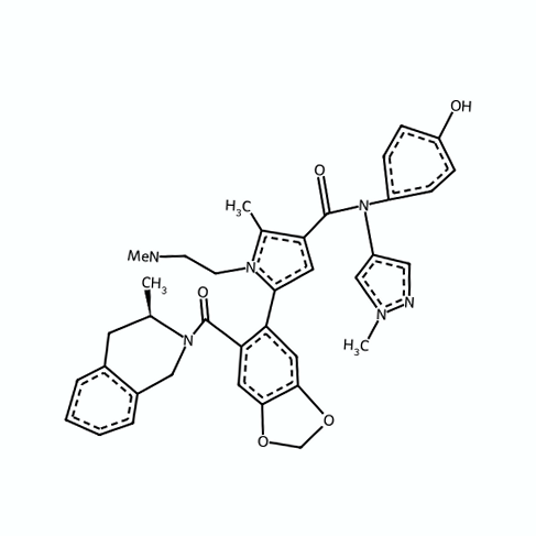 CNCCn1c(-c2cc3c(cc2C(=O)N2Cc4ccccc4C[C@H]2C)OCO3)cc(C(=O)N(c2ccc(O)cc2)c2cnn(C)c2)c1C